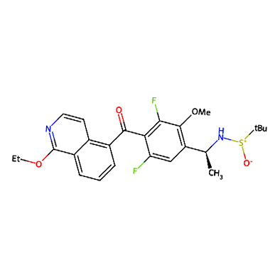 CCOc1nccc2c(C(=O)c3c(F)cc([C@H](C)N[S+]([O-])C(C)(C)C)c(OC)c3F)cccc12